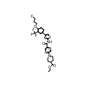 CCOC(=O)C1CCN(c2cnc(C(=O)Nc3nc(-c4ccc(OCCCF)c(C(F)(F)F)c4)cs3)cn2)CC1